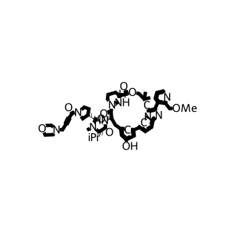 COCc1ncccc1-c1nc2ccc3cn2c1CC(C)(C)COC(=O)[C@@H]1CCCN(N1)C(=O)[C@@H](NC(=O)[C@H](C(C)C)N(C)C(=O)[C@H]1CCN(C(=O)C#CCN2CCOCC2)C1)Cc1cc(O)cc-3c1